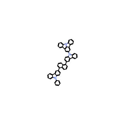 c1ccc(-n2c3ccccc3c3cc(-c4cccc5c(-c6ccc7c(c6)c6ccccc6n7-c6cc7c8ccccc8n8c9ccccc9c(c6)c78)cccc45)ccc32)cc1